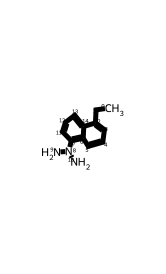 CCc1cccc2c(N(N)N)cccc12